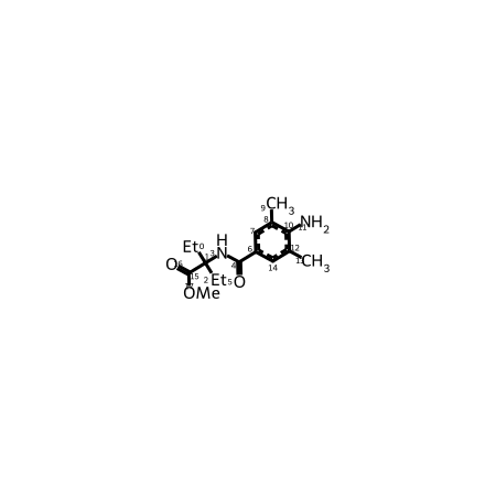 CCC(CC)(NC(=O)c1cc(C)c(N)c(C)c1)C(=O)OC